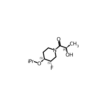 CC(C)O[C@H]1CCN(C(=O)[C@@H](C)O)C[C@@H]1F